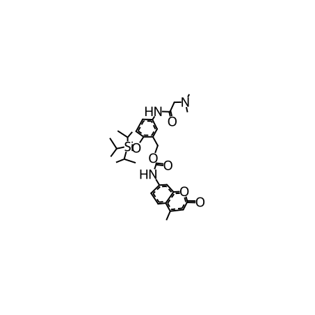 Cc1cc(=O)oc2cc(NC(=O)OCc3cc(NC(=O)CN(C)C)ccc3O[Si](C(C)C)(C(C)C)C(C)C)ccc12